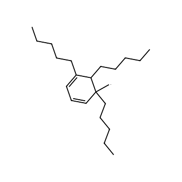 [CH2]C1(CCCCC)C=CC=C(CCCCC)C1CCCCC